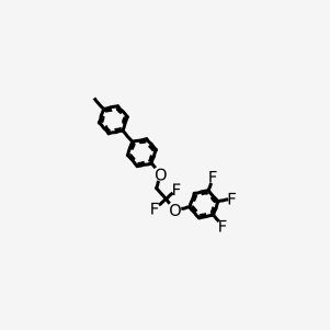 Cc1ccc(-c2ccc(OCC(F)(F)Oc3cc(F)c(F)c(F)c3)cc2)cc1